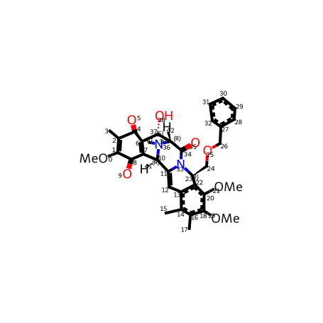 COC1=C(C)C(=O)C2=C(C1=O)[C@@H]1C3=Cc4c(C)c(C)c(OC)c(OC)c4[C@H](COCc4ccccc4)N3C(=O)[C@@H]([C@H]2O)N1C